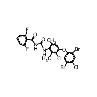 Cc1cc(Oc2cc(Br)c(Cl)cc2Br)c(Cl)c(C)c1NC(=O)NC(=O)c1c(F)cccc1F